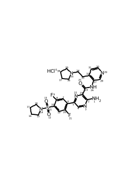 Cl.Nc1ncc(-c2cc(F)c(S(=O)(=O)N3CCCC3)cc2F)nc1C(=O)Nc1cnccc1CCN1CCCC1